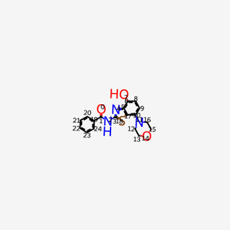 O=C(Nc1nc2c(O)ccc(N3CCOCC3)c2s1)c1ccccc1